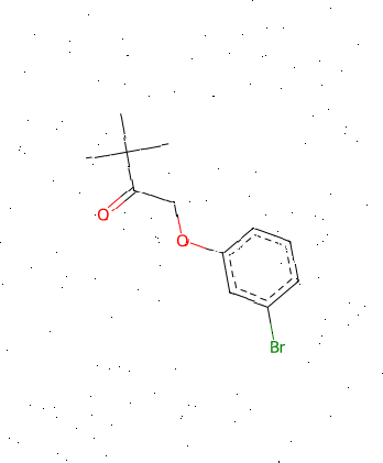 CC(C)(C)C(=O)COc1cccc(Br)c1